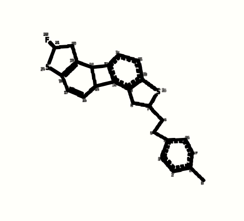 Cc1ccc(CCC2Cc3c(ccc4c3C3C=CC5=C(CC(F)S5)C43)S2)cc1